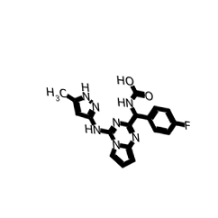 Cc1cc(Nc2nc(C(NC(=O)O)c3ccc(F)cc3)nc3cccn23)n[nH]1